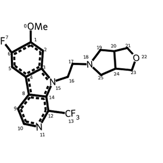 COc1cc2c(cc1F)c1ccnc(C(F)(F)F)c1n2CCN1CC2COCC2C1